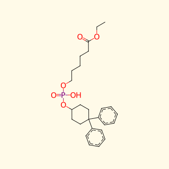 CCOC(=O)CCCCCOP(=O)(O)OC1CCC(c2ccccc2)(c2ccccc2)CC1